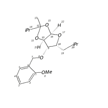 COc1ccccc1CO[C@@H]1[C@H]2OC(C)(C(C)C)O[C@H]2O[C@@H]1CC(C)C